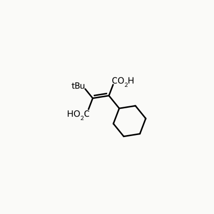 CC(C)(C)/C(C(=O)O)=C(\C(=O)O)C1CCCCC1